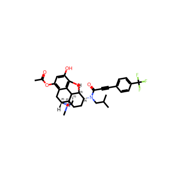 CC(=O)Oc1cc(O)c2c3c1C[C@@H]1[C@@H]4CC[C@@H](N(CC(C)C)C(=O)C#Cc5ccc(C(F)(F)F)cc5)[C@H](O2)[C@]34CCN1C